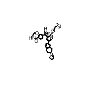 C[Si](C)(C)CCOCNc1ncc(-c2ccc3c(c2)CCC(N2CCCC2)CC3)cc1C(=N)c1ccc2c(c1)OCCNC2=O